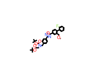 COCc1cc(-c2nc(-c3ccc(CN(CC(=O)OC(C)(C)C)C(=O)OC(C)(C)C)cc3)no2)ccc1-c1ccccc1F